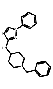 c1ccc(CN2CCC(Nc3ncn(-c4ccccc4)n3)CC2)cc1